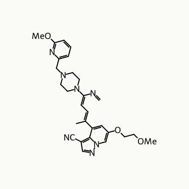 C=N/C(=C\C=C(/C)c1cc(OCCOC)cn2ncc(C#N)c12)N1CCN(Cc2cccc(OC)n2)CC1